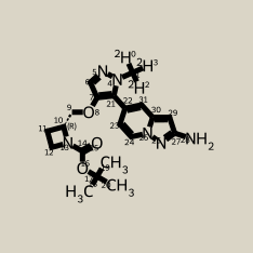 [2H]C([2H])([2H])n1ncc(OC[C@H]2CCN2C(=O)OC(C)(C)C)c1-c1ccn2nc(N)cc2c1